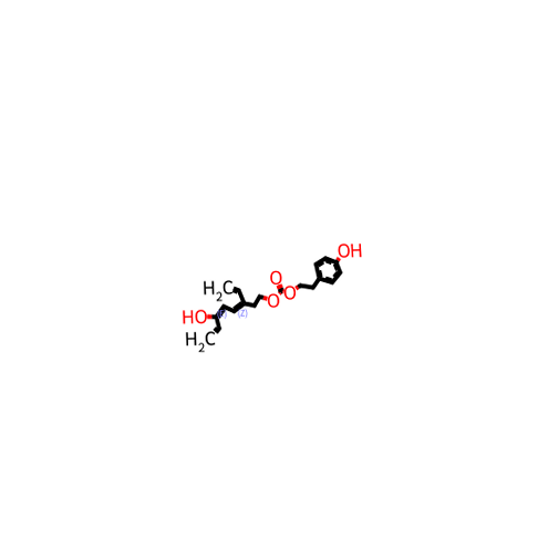 C=C/C(=C\C=C(\O)C=C)CCOC(=O)OCCc1ccc(O)cc1